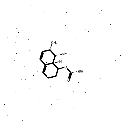 CCC[C@@H]1[C@@H]2C(=CCC[C@@H]2OC(=O)[C@@H](C)CC)C=C[C@@H]1C